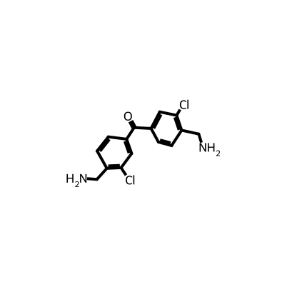 NCc1ccc(C(=O)c2ccc(CN)c(Cl)c2)cc1Cl